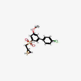 CC(C)Oc1cc(-c2ccc(Cl)cc2)cc(S(=O)(=O)CC2CS2)c1